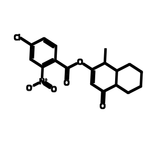 CC1C(OC(=O)c2ccc(Cl)cc2[N+](=O)[O-])=CC(=O)C2CCCCC12